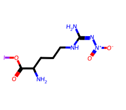 N/C(=N/[N+](=O)[O-])NCCCC(N)C(=O)OI